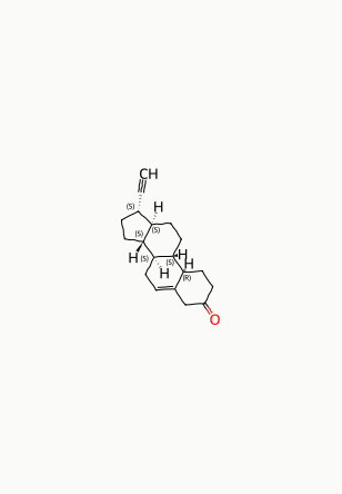 C#C[C@H]1CC[C@H]2[C@@H]3CC=C4CC(=O)CC[C@@H]4[C@H]3CC[C@@H]21